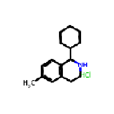 Cc1ccc2c(c1)CCNC2C1CCCCC1.Cl